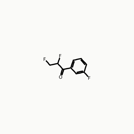 O=C(c1cccc(F)c1)C(F)CF